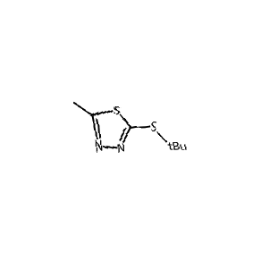 Cc1nnc(SC(C)(C)C)s1